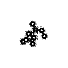 c1ccc(-c2cccc(-c3nc(-c4ccccc4)nc(-n4c5cccc6c7cc8ccccc8cc7n7c8ccccc8c8ccc4c(c65)c87)n3)c2)cc1